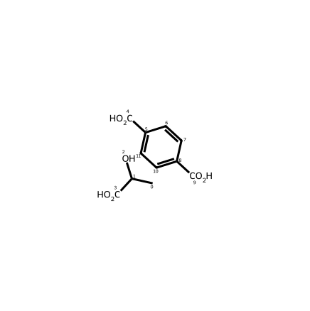 CC(O)C(=O)O.O=C(O)c1ccc(C(=O)O)cc1